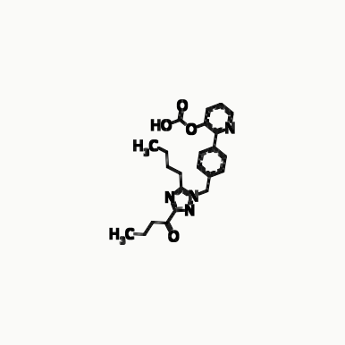 CCCCc1nc(C(=O)CCC)nn1Cc1ccc(-c2ncccc2OC(=O)O)cc1